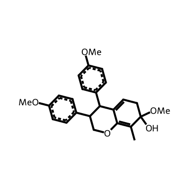 COc1ccc(C2COC3=C(C)C(O)(OC)CC=C3C2c2ccc(OC)cc2)cc1